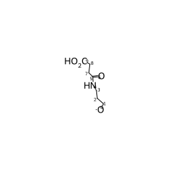 [O]CCCNC(=O)CCC(=O)O